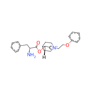 N[C@@H](Cc1ccccc1)C(=O)O[C@H]1C[N+]2(CCOc3ccccc3)CCC1CC2